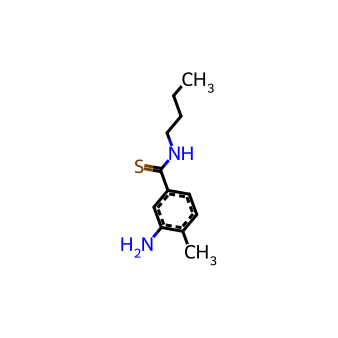 CCCCNC(=S)c1ccc(C)c(N)c1